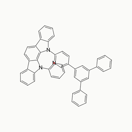 c1ccc(-c2cc(-c3ccccc3)cc(-c3ccc(-n4c5ccccc5c5ccc6c7ccccc7n(-c7ccccc7)c6c54)nc3)c2)cc1